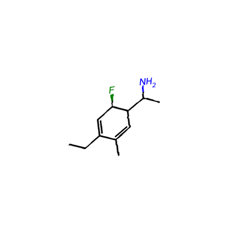 CCC1=C[C@@H](F)C(C(C)N)C=C1C